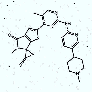 Cc1cnc(Nc2ccc(C3CCN(C)CC3)cn2)nc1-c1cc2c(s1)C1(CC1=O)N(C)C2=O